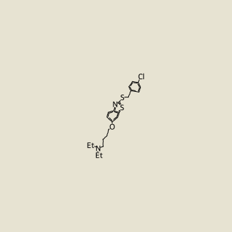 CCN(CC)CCCCOc1ccc2nc(SCc3ccc(Cl)cc3)sc2c1